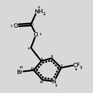 NC(=O)OCc1cc(C(F)(F)F)ncc1Br